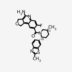 Cc1nc2ccc([C@H]3CC[C@H](C)CN3C(=O)c3cc4c5c(c(N)nc4cc3F)COC5)cc2s1